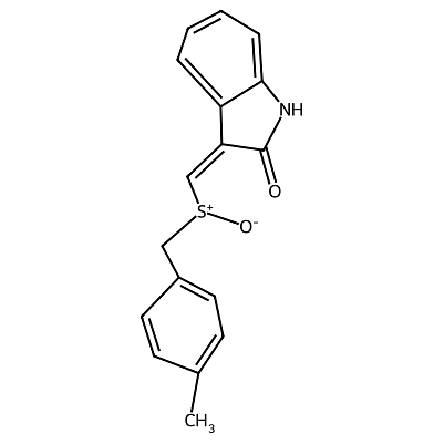 Cc1ccc(C[S+]([O-])C=C2C(=O)Nc3ccccc32)cc1